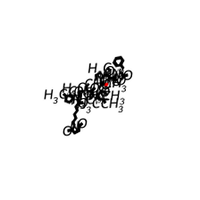 CC[C@H](C)[C@@H]([C@@H](CC(=O)N1CCC[C@H]1[C@H](OC)[C@@H](C)C(=O)N[C@@H](Cc1ccccc1)C(=O)O)OC)N(C)C(=O)[C@@H](NC(=O)N(C(=O)CCCCCN1C(=O)C=CC1=O)C1CCC(C)[C@@H]1C)C(C)C